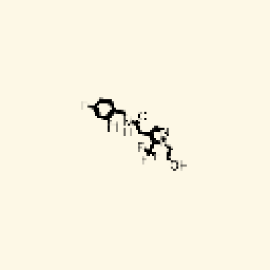 O=C(Cc1cnn(CCO)c1C(F)(F)F)NCc1ccc(F)cc1Cl